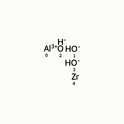 [Al+3].[OH-].[OH-].[OH-].[Zr]